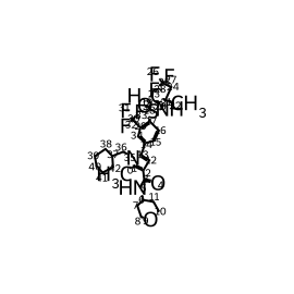 Cc1c(C(=O)NC2CCOCC2)cc(-c2ccc([S+]([O-])NC(C)(C)CC(F)(F)F)c(C(F)(F)F)c2)n1CC1CCCCC1